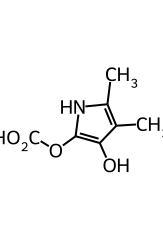 Cc1[nH]c(OC(=O)O)c(O)c1C